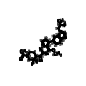 COc1nc(N[C@@H]2CCN(C(C)=O)CC2(F)F)nn2ccc(-c3ccc4nnn(C[C@@H](C)F)c4c3)c12